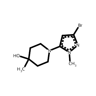 Cn1nc(Br)cc1N1CCC(C)(O)CC1